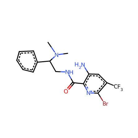 CN(C)C(CNC(=O)c1nc(Br)c(C(F)(F)F)cc1N)c1ccccc1